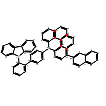 c1ccc(-c2ccccc2N(c2ccc(-c3ccccc3-n3c4ccccc4c4ccccc43)cc2)c2ccc(-c3ccc4ccccc4c3)cc2-c2ccccc2)cc1